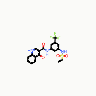 C=CS(=O)(=O)Nc1cc(NC(=O)c2c[nH]c3ccccc3c2=O)cc(C(F)(F)F)c1